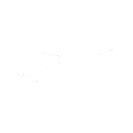 CCCCCCCCC(CCCCC(C)C)N=C=O